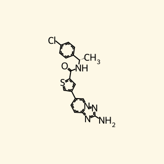 C[C@H](NC(=O)c1cc(-c2ccc3nc(N)nn3c2)cs1)c1ccc(Cl)cc1